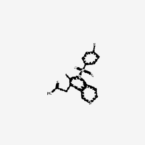 Cc1c(CC(=O)O)c2cnccc2n1S(=O)(=O)c1ccc(F)cc1